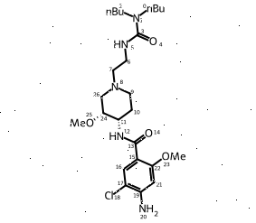 CCCCN(CCCC)C(=O)NCCN1CC[C@H](NC(=O)c2cc(Cl)c(N)cc2OC)[C@H](OC)C1